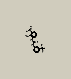 O=C(Nc1cccc(C(F)(F)F)c1)Nc1cccc([N+](=O)[O-])c1O